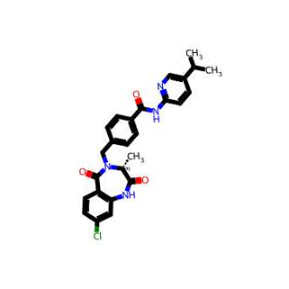 CC(C)c1ccc(NC(=O)c2ccc(CN3C(=O)c4ccc(Cl)cc4NC(=O)[C@H]3C)cc2)nc1